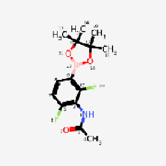 CC(=O)Nc1c(F)ccc(B2OC(C)(C)C(C)(C)O2)c1F